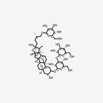 C[C@@H](CC[C@@]1(O)O[C@H]2C[C@H]3[C@@H]4CC[C@@H]5C[C@@H](O)C(O[C@@H]6O[C@H](CO)[C@@H](O)[C@H](O[C@@H]7O[C@H](CO)[C@@H](O)[C@H](O)[C@H]7O)[C@H]6O)C[C@]5(C)[C@H]4CC[C@]3(C)[C@H]2[C@@H]1C)CO[C@@H]1O[C@H](CO)[C@@H](O)[C@H](O)[C@H]1O